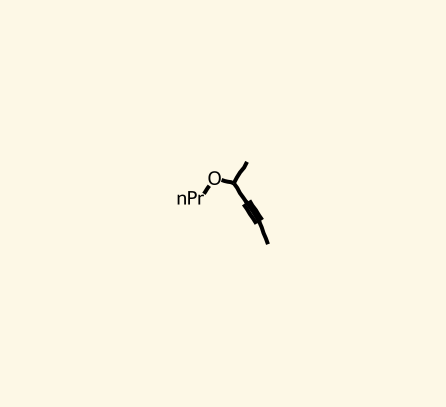 CC#CC(C)OCCC